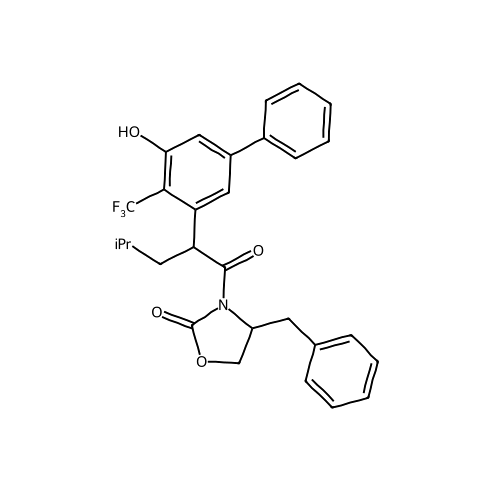 CC(C)CC(C(=O)N1C(=O)OCC1Cc1ccccc1)c1cc(-c2ccccc2)cc(O)c1C(F)(F)F